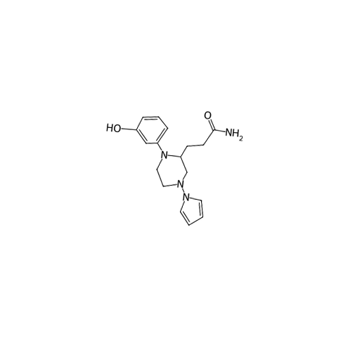 NC(=O)CCC1CN(n2cccc2)CCN1c1cccc(O)c1